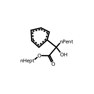 CCCCCCCOC(=O)C(O)(CCCCC)c1ccccc1